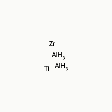 [AlH3].[AlH3].[Ti].[Zr]